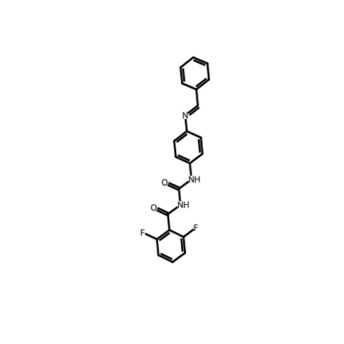 O=C(NC(=O)c1c(F)cccc1F)Nc1ccc(N=Cc2ccccc2)cc1